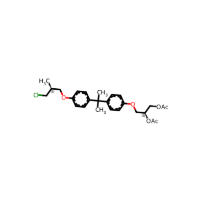 CC(=O)OC[C@H](COc1ccc(C(C)(C)c2ccc(OC[C@H](C)CCl)cc2)cc1)OC(C)=O